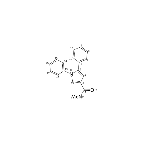 CNC(=O)c1cc(-c2ccccc2)n(-c2ccccc2)c1